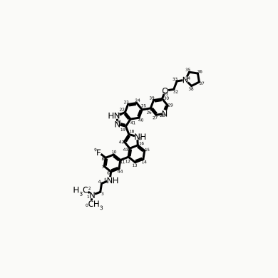 CN(C)CCNc1cc(F)cc(-c2cccc3[nH]c(-c4n[nH]c5ccc(-c6cncc(OCCN7CCCC7)c6)cc45)cc23)c1